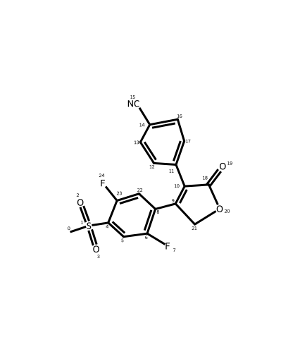 CS(=O)(=O)c1cc(F)c(C2=C(c3ccc(C#N)cc3)C(=O)OC2)cc1F